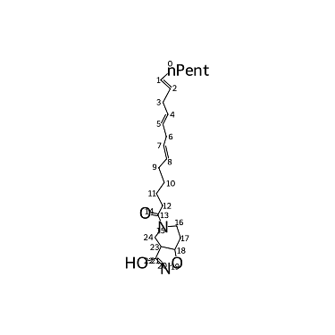 CCCCC/C=C/C/C=C/C/C=C/CCCCC(=O)N1CCC2ON=C(O)C2C1